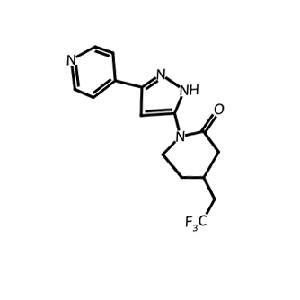 O=C1CC(CC(F)(F)F)CCN1c1cc(-c2ccncc2)n[nH]1